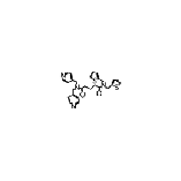 O=C(CCCC(=O)N(Cc1cccs1)Cc1cccs1)N(Cc1ccncc1)Cc1ccncc1